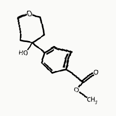 COC(=O)c1ccc(C2(O)CCOCC2)cc1